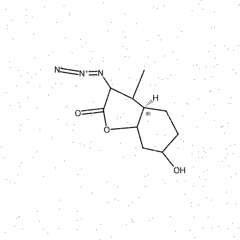 CC1C(N=[N+]=[N-])C(=O)OC2CC(O)CC[C@@H]21